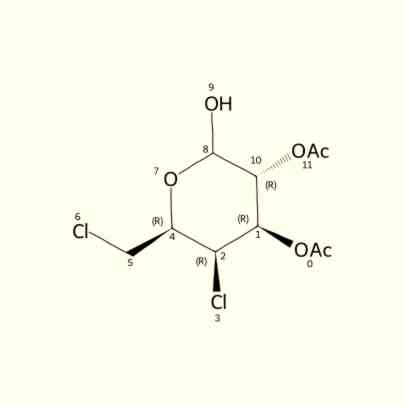 CC(=O)O[C@H]1[C@@H](Cl)[C@@H](CCl)OC(O)[C@@H]1OC(C)=O